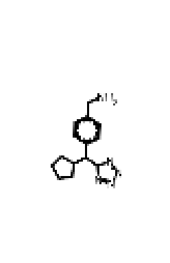 NCc1ccc(C(C2CCCC2)C2N=NN=N2)cc1